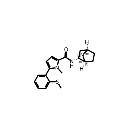 CSc1ccccc1-c1ccc(C(=O)N[C@@H]2C[C@H]3CC[C@@H]2N3)n1C